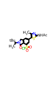 CC(=O)Nc1nc(C)c(-c2cc3c(c(S(=O)(=O)Cl)c2)C(=O)N(C(C)C(C)(C)C)C3)s1